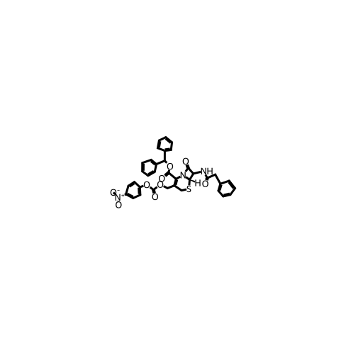 O=C(Cc1ccccc1)NC1C(=O)N2C(C(=O)OC(c3ccccc3)c3ccccc3)=C(COC(=O)Oc3ccc([N+](=O)[O-])cc3)CS[C@@H]12